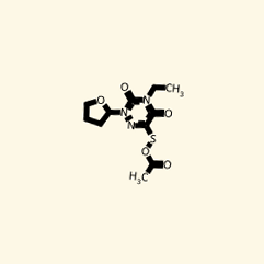 CCn1c(=O)c(SOC(C)=O)nn(C2CCCO2)c1=O